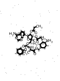 CCC(=O)O[C@H]1[C@H](c2ccc3c(N)ncnn23)O[C@](C)(COP(=O)(N[C@@H](C)C(=O)OC[C@H]2CC[C@H](N)CC2)Oc2ccccc2)[C@H]1OC(=O)CC